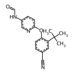 CC(C)(C)c1cc(C#N)ccc1Oc1ccc(NC=O)cn1